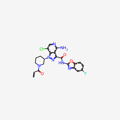 C=CC(=O)N1CCC[C@@H](n2nc(C(=O)Nc3nc4cc(F)ccc4o3)c3c(N)ncc(Cl)c32)C1